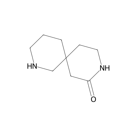 O=C1CC2(CCCNC2)CCN1